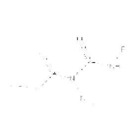 CCNC(=O)N(N)C(=O)CCl